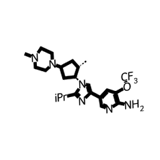 CC(C)c1nc(-c2cnc(N)c(OC(F)(F)F)c2)cn1[C@@H]1CC(N2CCN(C)CC2)C[C@@H]1C